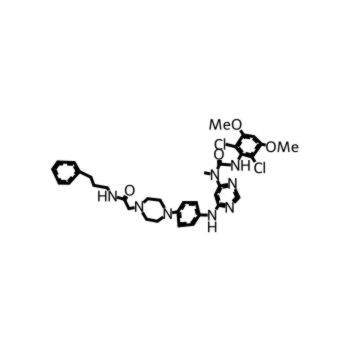 COc1cc(OC)c(Cl)c(NC(=O)N(C)c2cc(Nc3ccc(N4CCN(CC(=O)NCCCc5ccccc5)CC4)cc3)ncn2)c1Cl